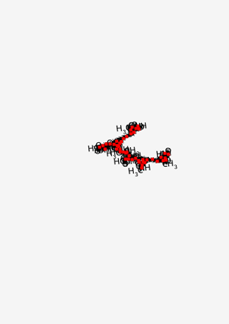 CNC(=O)[C@@H]1Cc2cc(CCCCCCc3ccc4c(c3)n(C)c(=O)n4C3CCC(=O)NC3=O)cc3c2N1C(=O)[C@@H](NC(=O)c1cc2cc(C(=O)P(=O)(O)O)cc(CN(C)C(=O)CC[C@@H](C)NC(=O)[C@@H]4Cc5cc(CCCCCCc6ccc7c(c6)n(C)c(=O)n7C6CCC(=O)NC6=O)cc6c5N4C(=O)[C@@H](NC(=O)c4cc5cc(C(=O)P(=O)(O)O)ccc5[nH]4)CC6)c2[nH]1)CC3